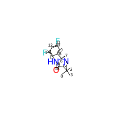 CC(C)(C)C1=N[C@@](C)(c2cc(F)cc(F)c2)NC1=O